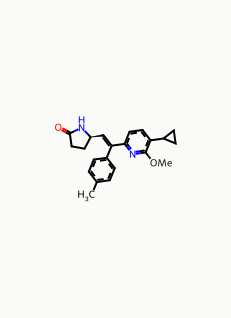 COc1nc(/C(=C/[C@H]2CCC(=O)N2)c2ccc(C)cc2)ccc1C1CC1